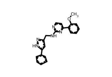 COc1ccccc1-c1ccnc(NCc2cc(-c3ccccc3)[nH]n2)n1